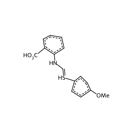 COc1ccc([SH]=CNc2ccccc2C(=O)O)cc1